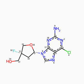 Nc1nc(Cl)c2ncn([C@@H]3C[C@@](F)(CO)CO3)c2n1